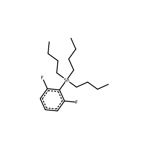 CCC[CH2][Sn]([CH2]CCC)([CH2]CCC)[c]1c(F)cccc1F